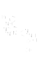 CC(Nc1ccc(-c2cc(-c3cccc(Br)c3)c3c(N)ncnc3n2)cn1)OCCO